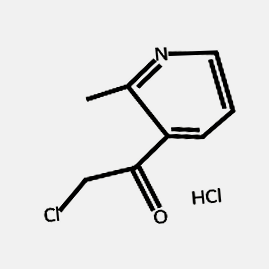 Cc1ncccc1C(=O)CCl.Cl